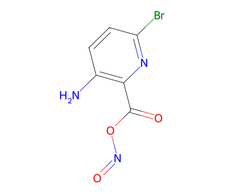 Nc1ccc(Br)nc1C(=O)ON=O